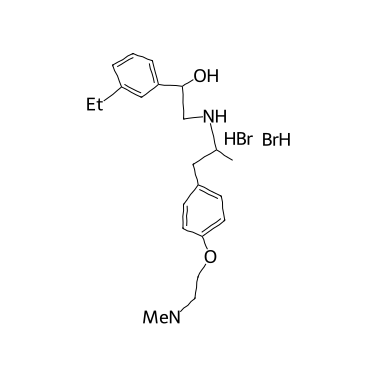 Br.Br.CCc1cccc(C(O)CNC(C)Cc2ccc(OCCNC)cc2)c1